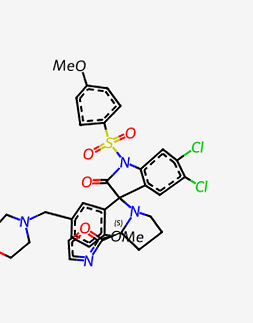 COc1ccc(S(=O)(=O)N2C(=O)C(c3cc(CN4CCOCC4)ccc3OC)(N3CCC[C@H]3c3ncco3)c3cc(Cl)c(Cl)cc32)cc1